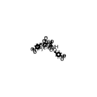 CC1(C)S[C@@H]2[C@@H](NC(=O)OCc3ccc([N+](=O)[O-])cc3)C(=O)N2[C@@]1(NC=O)C(=O)OCc1ccc([N+](=O)[O-])cc1